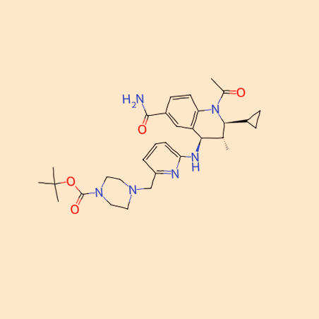 CC(=O)N1c2ccc(C(N)=O)cc2[C@H](Nc2cccc(CN3CCN(C(=O)OC(C)(C)C)CC3)n2)[C@@H](C)[C@@H]1C1CC1